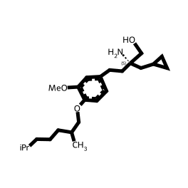 COc1cc(CC[C@@](N)(CO)CC2CC2)ccc1OCC(C)CCCC(C)C